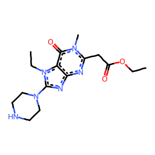 CCOC(=O)Cc1nc2nc(N3CCNCC3)n(CC)c2c(=O)n1C